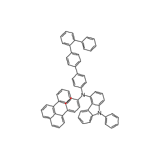 c1ccc(-c2ccccc2-c2ccc(-c3ccc(N(c4ccc(-c5cccc6cccc(-c7ccccc7)c56)cc4)c4cccc5c4c4ccccc4n5-c4ccccc4)cc3)cc2)cc1